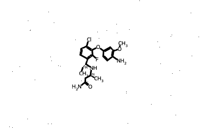 CC[C@@H](N[C@@H](C)CC(N)=O)c1ccc(Cl)c(Oc2ccc(N)c(OC)c2)c1F